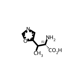 CC(c1cnco1)[C@H](N)C(=O)O